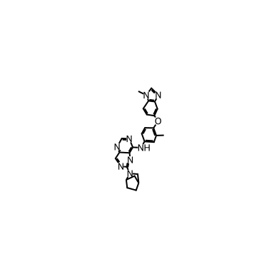 Cc1cc(Nc2ncnc3cnc(N4CC5CCC4C5)nc23)ccc1Oc1ccc2c(c1)ncn2C